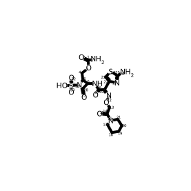 NC(=O)OCC1C(NC(=O)C(=NOCC(=O)N2CCCCC2)c2csc(N)n2)C(=O)N1S(=O)(=O)O